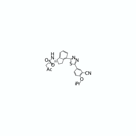 CC(=O)CS(=O)(=O)N[C@H]1CCc2c(-c3nnc(-c4ccc(OC(C)C)c(C#N)c4)s3)cccc21